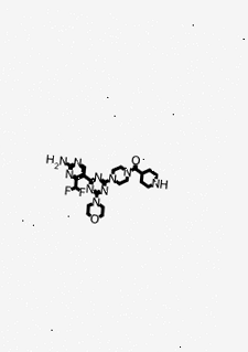 Nc1ncc(-c2nc(N3CCOCC3)nc(N3CCN(C(=O)C4CCNCC4)CC3)n2)c(C(F)F)n1